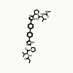 CCC(=O)N[C@H](C(=O)N1CCC[C@H]1c1ncc(-c2ccc(-c3ccc(-c4cnc(C5CCCN5C(=O)[C@@H](NC(=O)NC)C(C)C)[nH]4)cc3)cc2)[nH]1)C(C)C